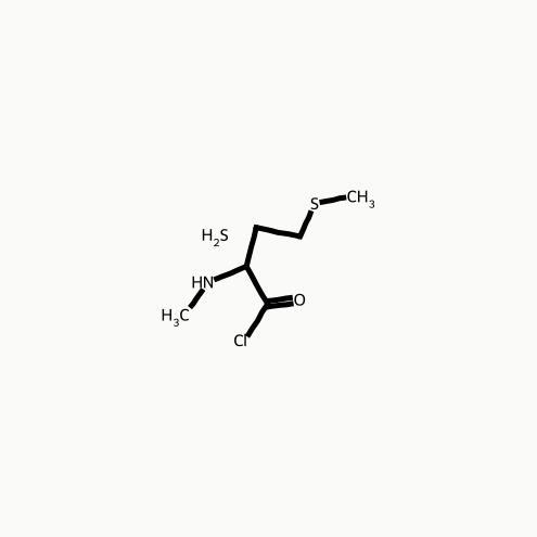 CNC(CCSC)C(=O)Cl.S